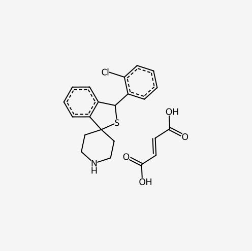 Clc1ccccc1C1SC2(CCNCC2)c2ccccc21.O=C(O)C=CC(=O)O